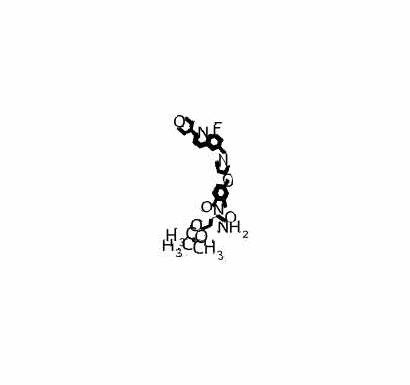 CC(C)(C)OC(=O)CC[C@@H](C(N)=O)N1Cc2cc(O[C@H]3CCN(Cc4cc(F)c5nc(C6CCOCC6)ccc5c4)C3)ccc2C1=O